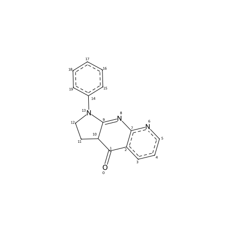 O=C1c2cccnc2N=C2C1CCN2c1ccccc1